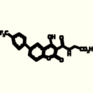 O=C(O)CNC(=O)c1c(O)c2cc(-c3ccc(C(F)(F)F)cc3)ccc2oc1=O